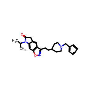 CC(C)N1C(=O)Cc2cc3c(CCC4CCN(Cc5ccccc5)CC4)noc3cc21